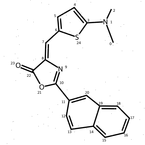 CN(C)c1ccc(C=C2N=C(c3ccc4ccccc4c3)OC2=O)s1